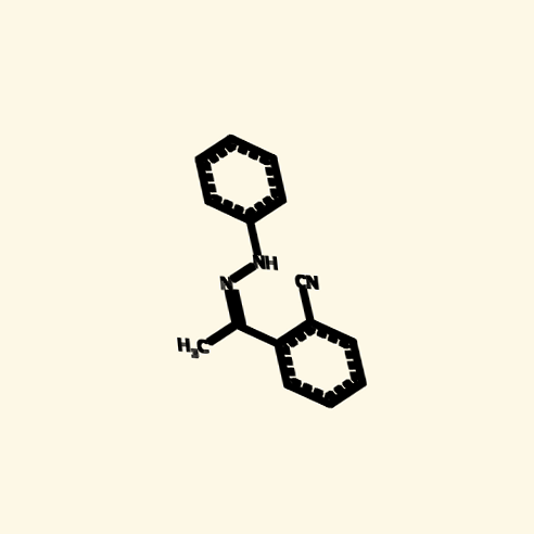 CC(=NNc1ccccc1)c1ccccc1C#N